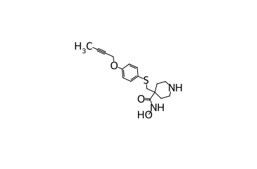 CC#CCOc1ccc(SCC2(C(=O)NO)CCNCC2)cc1